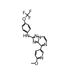 COc1ccc(-c2nccn3nc(Nc4ccc(OC(F)(F)F)cc4)nc23)cn1